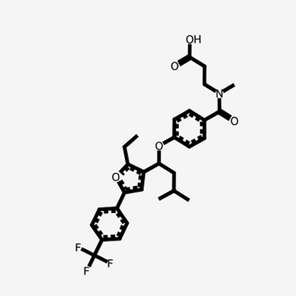 CCc1oc(-c2ccc(C(F)(F)F)cc2)cc1C(CC(C)C)Oc1ccc(C(=O)N(C)CCC(=O)O)cc1